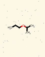 [CH2]CCOC([CH2])C